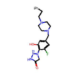 CC(C)CCN1CCN(Cc2cc(O)c(N3CC(=O)NN3)c(F)c2)CC1